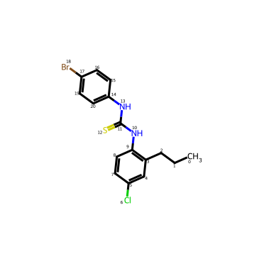 CCCc1cc(Cl)ccc1NC(=S)Nc1ccc(Br)cc1